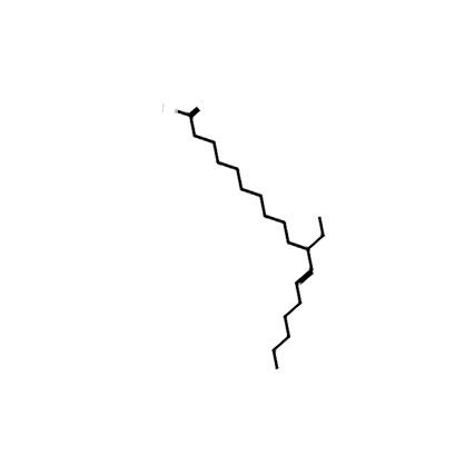 CCCCCC=CC(CC)CCCCCCCCCC(=O)O